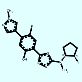 CN(c1nnc(-c2cc(F)c(-c3cnn(C)c3)cc2O)s1)[C@H]1CCC[C@H]1F